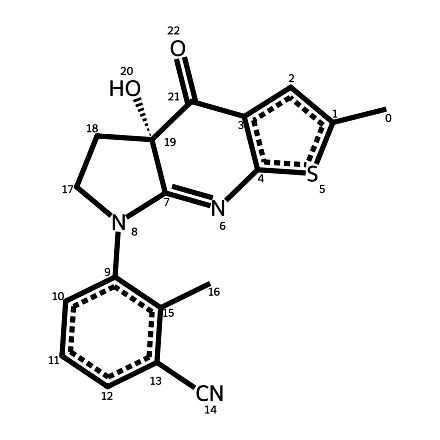 Cc1cc2c(s1)N=C1N(c3cccc(C#N)c3C)CC[C@@]1(O)C2=O